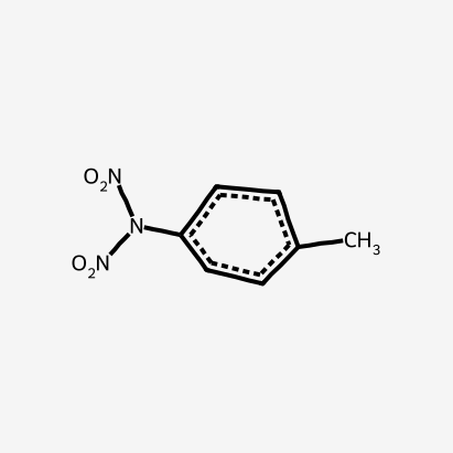 Cc1ccc(N([N+](=O)[O-])[N+](=O)[O-])cc1